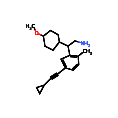 COC1CCC(C(CN)c2cc(C#CC3CC3)ccc2C)CC1